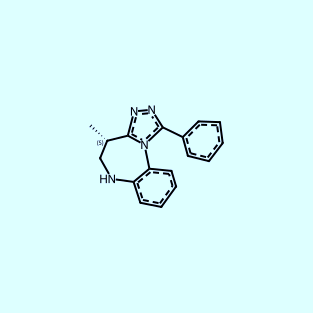 C[C@H]1CNc2ccccc2-n2c(-c3ccccc3)nnc21